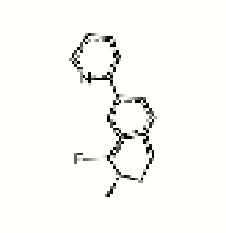 C[C@@H]1CC=c2ccc(-c3ccccn3)cc2=C1F